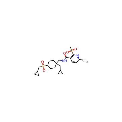 CS(=O)(=O)c1nc(C(F)(F)F)ccc1C(=O)NCC1(CC2CC2)CCC(S(=O)(=O)CC2CC2)CC1